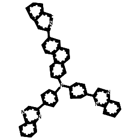 c1ccc2cc(-c3ccc4c(ccc5cc(N(c6ccc(-c7cnc8ccccc8n7)cc6)c6ccc(-c7cnc8ccccc8n7)cc6)ccc54)c3)ncc2c1